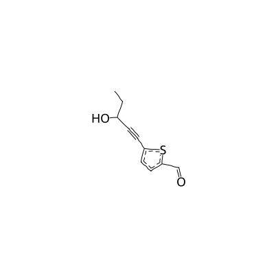 CCC(O)C#Cc1ccc(C=O)s1